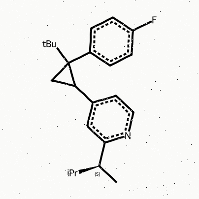 CC(C)[C@H](C)c1cc(C2CC2(c2ccc(F)cc2)C(C)(C)C)ccn1